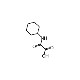 O=C(O)C(=O)NC1CCCCC1